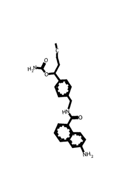 CCCCC(OC(N)=O)c1ccc(CNC(=O)c2cccc3cc(N)ccc23)cc1